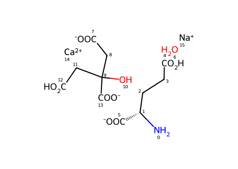 N[C@@H](CCC(=O)O)C(=O)[O-].O.O=C([O-])CC(O)(CC(=O)O)C(=O)[O-].[Ca+2].[Na+]